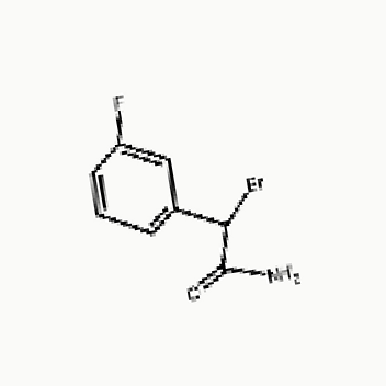 NC(=O)C(Br)c1cccc(F)c1